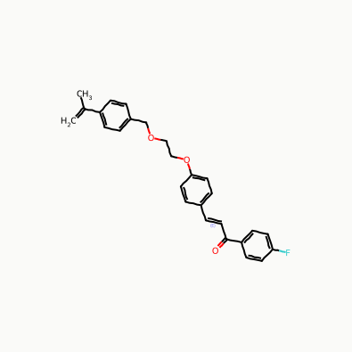 C=C(C)c1ccc(COCCOc2ccc(/C=C/C(=O)c3ccc(F)cc3)cc2)cc1